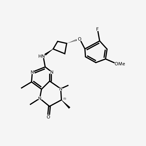 COc1ccc(O[C@H]2C[C@H](Nc3nc(C)c4c(n3)N(C)[C@@H](C)C(=O)N4C)C2)c(F)c1